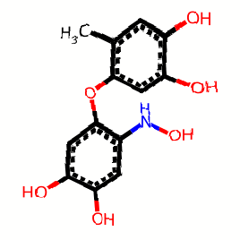 Cc1cc(O)c(O)cc1Oc1cc(O)c(O)cc1NO